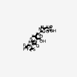 CC(=S)N(CC(F)(F)F)C1C(=O)N2C(C(=O)O)=C(CSc3nnc(CS(=O)(=O)O)o3)CS[C@@H]12